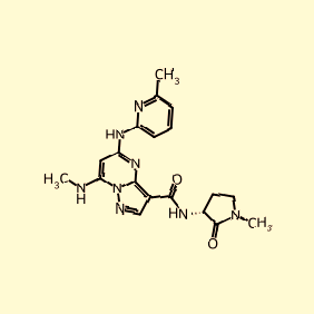 CNc1cc(Nc2cccc(C)n2)nc2c(C(=O)N[C@@H]3CCN(C)C3=O)cnn12